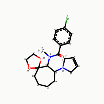 CN(C(=O)c1ccc(Br)cc1)C1C(N2CC=CC2)CCCCC12OCCO2